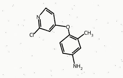 Cc1cc(N)ccc1Oc1ccnc(Cl)c1